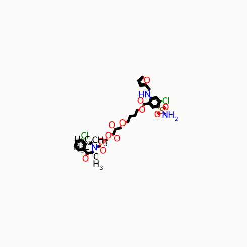 CC(C(=O)c1cccc(Cl)c1)N(C(=O)OCOC(=O)C(=O)COCCCCOC(=O)c1cc(S(N)(=O)=O)c(Cl)cc1NCc1ccco1)C(C)(C)C